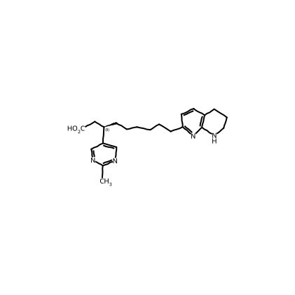 Cc1ncc([C@H](CCCCCCc2ccc3c(n2)NCCC3)CC(=O)O)cn1